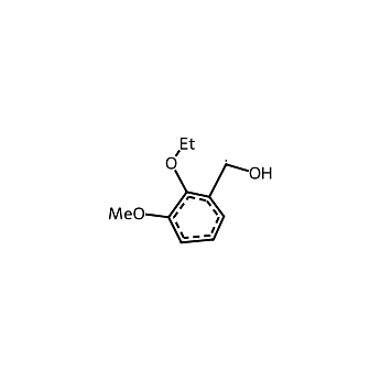 CCOc1c([CH]O)cccc1OC